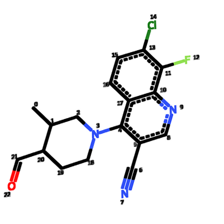 CC1CN(c2c(C#N)cnc3c(F)c(Cl)ccc23)CCC1C=O